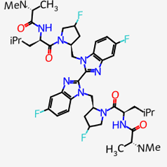 CN[C@H](C)C(=O)N[C@H](CC(C)C)C(=O)N1CC(F)C[C@H]1Cn1c(-c2nc3cc(F)ccc3n2C[C@@H]2CC(F)CN2C(=O)[C@@H](CC(C)C)NC(=O)[C@@H](C)NC)nc2cc(F)ccc21